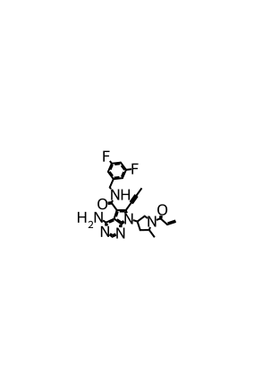 C=CC(=O)N1CC(n2c(C#CC)c(C(=O)NCc3cc(F)cc(F)c3)c3c(N)ncnc32)CC1C